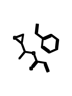 C=CC(=O)OC(C)C1CO1.C=Cc1ccccc1